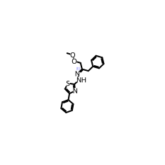 COOC/C(Cc1ccccc1)=N/Nc1nc(-c2ccccc2)cs1